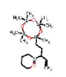 C=CC(CC[Si]1(C)O[Si](C)(C)O[Si](C)(C)O[Si](C)(C)O1)[SiH]1CCCCO1